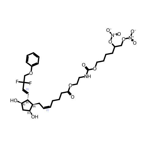 O=C(CCC/C=C\C[C@@H]1[C@@H](/C=C/C(F)(F)COc2ccccc2)[C@H](O)C[C@@H]1O)OCCNC(=O)OCCCCC(CO[N+](=O)[O-])O[N+](=O)[O-]